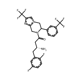 N[C@@H](CC(=O)N1Cc2nc(C(F)(F)F)cn2CC1c1cccc(C(F)(F)F)c1)Cc1cc(F)ccc1F